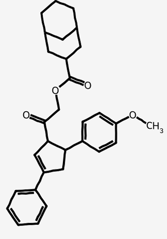 COc1ccc(C2CC(c3ccccc3)=CC2C(=O)COC(=O)C2CC3CCCC(C3)C2)cc1